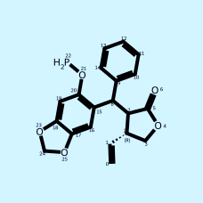 C=C[C@H]1COC(=O)C1C(c1ccccc1)c1cc2c(cc1OP)OCO2